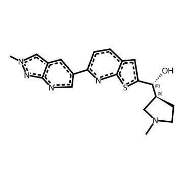 CN1CC[C@H]([C@@H](O)c2cc3ccc(-c4cnc5nn(C)cc5c4)nc3s2)C1